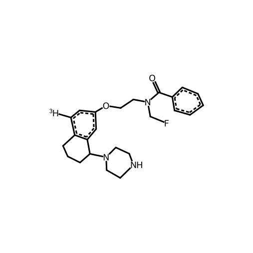 [3H]c1cc(OCCN(CF)C(=O)c2ccccc2)cc2c1CCCC2N1CCNCC1